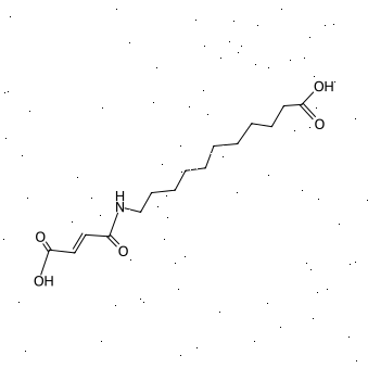 O=C(O)C=CC(=O)NCCCCCCCCCCC(=O)O